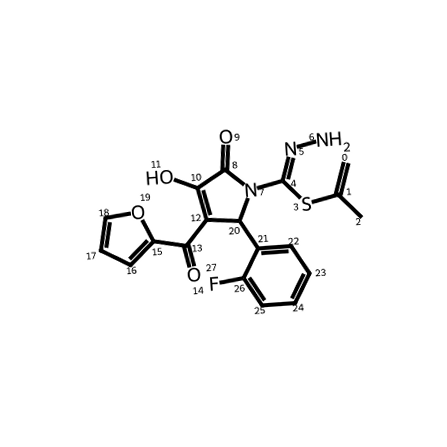 C=C(C)S/C(=N\N)N1C(=O)C(O)=C(C(=O)c2ccco2)C1c1ccccc1F